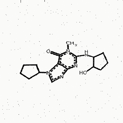 Cn1c(NC2CCCC2O)nc2ncn(C3CCCC3)c2c1=O